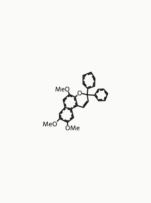 COc1cc2cc(OC)c3c(c2cc1OC)C=CC(c1ccccc1)(c1ccccc1)O3